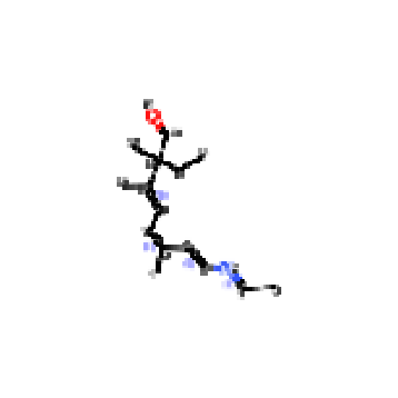 C/C=N/C=C/C(C)=C\C=C(/C)C(C)(C=O)CC